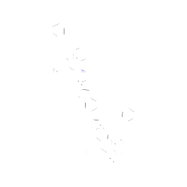 CC1=C(C#N)C(=O)N(C(=O)OCc2ccccc2)C(=O)/C1=C\c1nc2c(s1)-c1cc3c(cc1C21CCCCC1)-c1sc(/C=C2/C(=O)N(C(=O)OCc4ccccc4)C(=O)C(C#N)=C2C)nc1C31CCCCC1